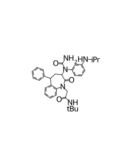 CC(C)Nc1cccc(N(C(N)=O)C2CC(c3ccccc3)c3ccccc3N(CC(=O)NC(C)(C)C)C2=O)c1